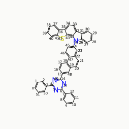 c1ccc(-c2nc(-c3ccccc3)nc(-c3ccc4c(ccc5cc(-n6c7ccccc7c7ccc8c9ccccc9sc8c76)ccc54)c3)n2)cc1